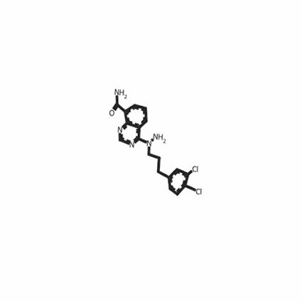 NC(=O)c1cccc2c(N(N)CCCc3ccc(Cl)c(Cl)c3)ncnc12